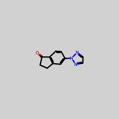 O=C1CCc2cc(-n3nccn3)ccc21